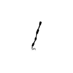 C#CC#CC#CC#CS